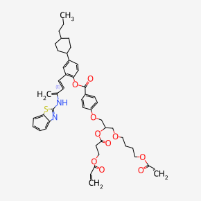 C=CC(=O)OCCCCOCC(COc1ccc(C(=O)Oc2ccc(C3CCC(CCC)CC3)cc2/C=C/C(=C)Nc2nc3ccccc3s2)cc1)OC(=O)CCOC(=O)C=C